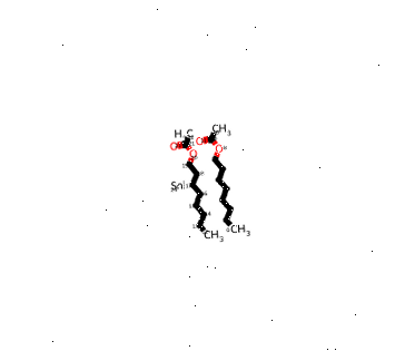 CCCCCCCCOC(C)=O.CCCCCCCCOC(C)=O.[Sn]